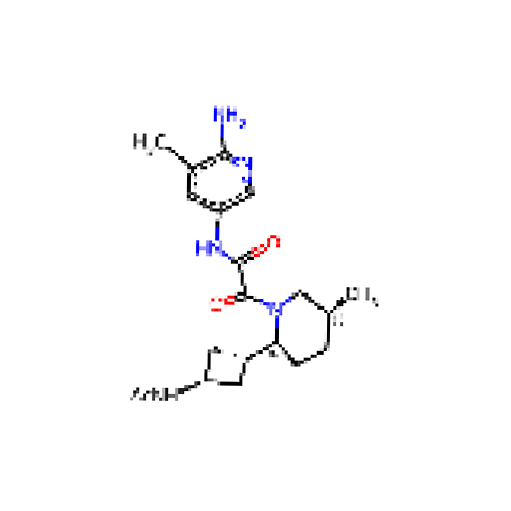 CC(=O)N[C@H]1C[C@H]([C@@H]2CC[C@H](C)CN2C(=O)C(=O)Nc2cnc(N)c(C)c2)C1